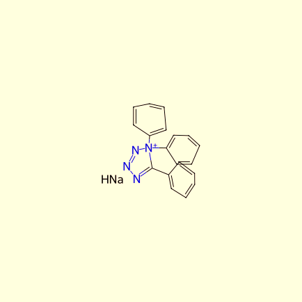 [NaH].c1ccc(C2=NN=N[N+]2(c2ccccc2)c2ccccc2)cc1